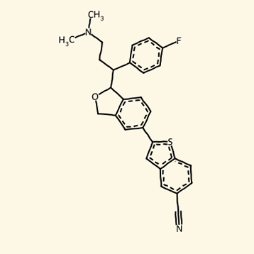 CN(C)CCC(c1ccc(F)cc1)C1OCc2cc(-c3cc4cc(C#N)ccc4s3)ccc21